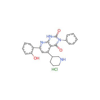 Cl.O=c1[nH]c2nc(-c3ccccc3O)cc(C3CCCNC3)c2c(=O)n1-c1ccccc1